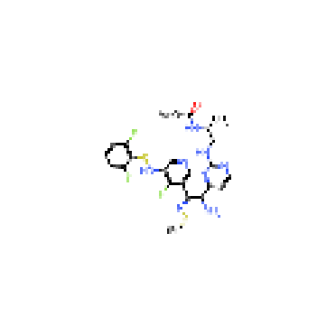 COC(=O)N[C@@H](C)CNc1nccc(C(N)/C(=N\SC(C)(C)C)c2cncc(NSc3c(F)cccc3F)c2F)n1